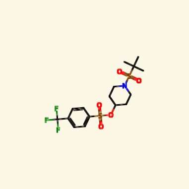 CC(C)(C)S(=O)(=O)N1CCC(OS(=O)(=O)c2ccc(C(F)(F)F)cc2)CC1